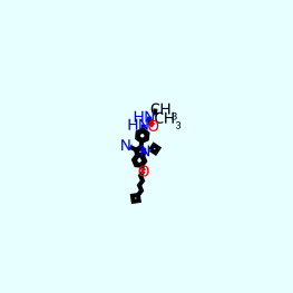 CC(C)NC(=O)Nc1ccc(-c2c(C#N)c3ccc(OCCCCC4CCC4)cc3n2C2CCC2)cc1